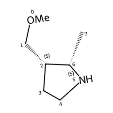 COC[C@H]1CCN[C@H]1C